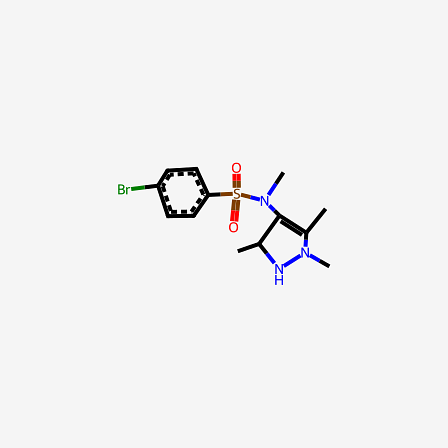 CC1=C(N(C)S(=O)(=O)c2ccc(Br)cc2)C(C)NN1C